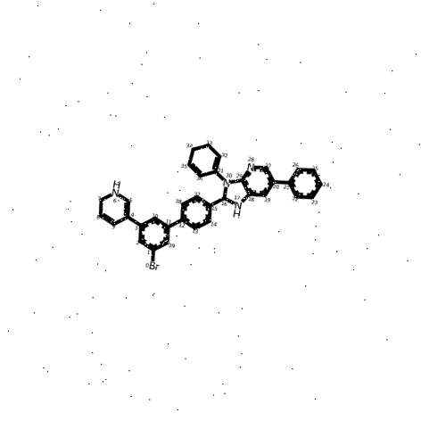 Brc1cc(C2=CNCC=C2)cc(-c2ccc(C3Nc4cc(-c5ccccc5)cnc4N3C3=CCCC=C3)cc2)c1